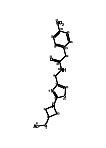 CC(=O)SC1CN(c2nc(CNC(=O)Cc3ccc([N+](=O)[O-])cc3)cs2)C1